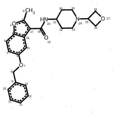 Cc1oc2ccc(OCc3ccccc3)cc2c1C(=O)NC1CCN(C2COC2)CC1